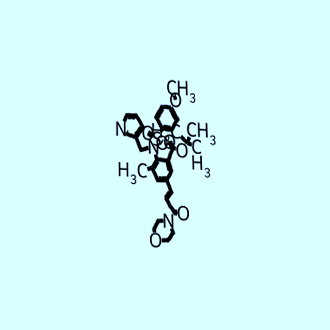 COc1ccc(S(=O)(=O)N(Cc2cccnc2)c2c(C)cc(C=CC(=O)N3CCOCC3)cc2C(=O)OC(C)(C)C)cc1